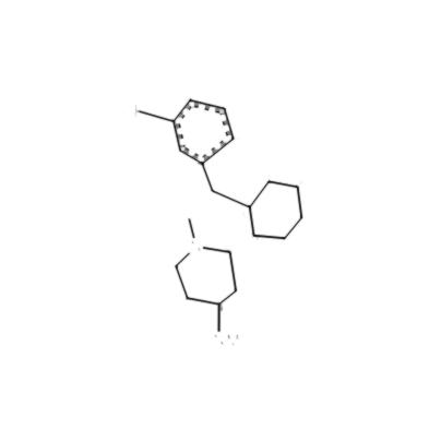 CNC1CCN(C[C@H](c2cccc(Cl)c2)C2CCCCC2)CC1